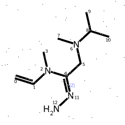 C=CN(C)/C(CN(C)C(C)C)=N\N